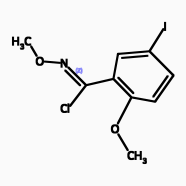 CO/N=C(\Cl)c1cc(I)ccc1OC